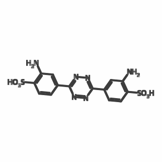 Nc1cc(-c2nnc(-c3ccc(S(=O)(=O)O)c(N)c3)nn2)ccc1S(=O)(=O)O